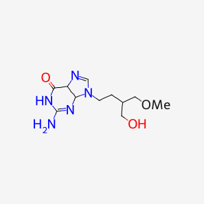 COCC(CO)CCN1C=NC2C(=O)NC(N)=NC21